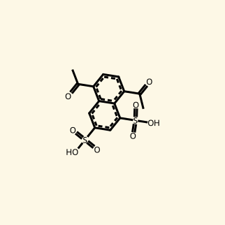 CC(=O)c1ccc(C(C)=O)c2c(S(=O)(=O)O)cc(S(=O)(=O)O)cc12